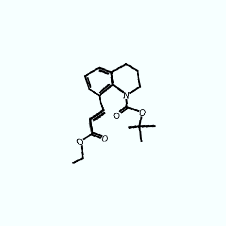 CCOC(=O)C=Cc1cccc2c1N(C(=O)OC(C)(C)C)CCC2